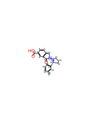 O=C(O)c1ccc2c(c1)C(=O)N(N1CCC[C@H]1c1cccc(F)c1)C2